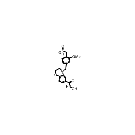 COc1cc(CN2CCOc3ccc(C(=O)NO)cc32)ccc1C[SH](=O)=O